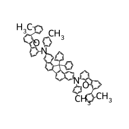 Cc1ccc(N(c2ccc3c4c(ccc3c2)-c2ccc3cc(N(c5ccc(C)cc5)c5cccc6c5oc5c(-c7ccccc7C)cccc56)ccc3c2C4(c2ccccc2)c2ccccc2)c2cccc3c2oc2c(-c4ccccc4C)cccc23)cc1